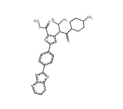 COC(=O)c1sc(-c2ccc(-c3nc4ncccc4o3)cc2)cc1N(C(=O)C1CCC(C)CC1)C(C)C